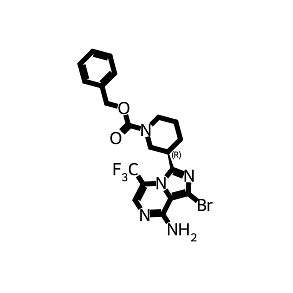 Nc1ncc(C(F)(F)F)n2c([C@@H]3CCCN(C(=O)OCc4ccccc4)C3)nc(Br)c12